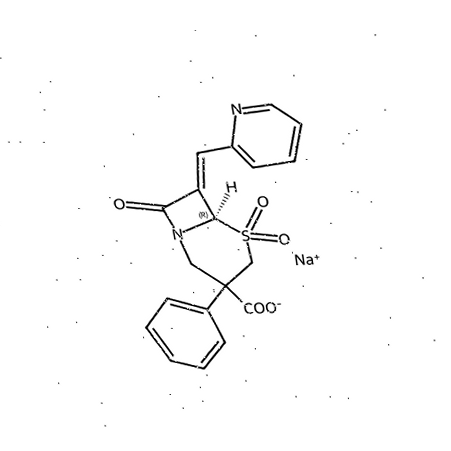 O=C1C(=Cc2ccccn2)[C@@H]2N1CC(C(=O)[O-])(c1ccccc1)CS2(=O)=O.[Na+]